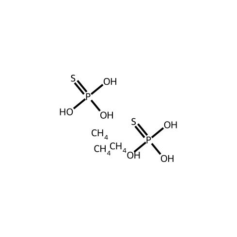 C.C.C.OP(O)(O)=S.OP(O)(O)=S